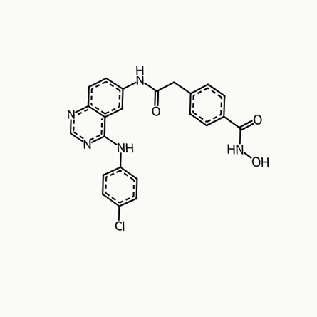 O=C(Cc1ccc(C(=O)NO)cc1)Nc1ccc2ncnc(Nc3ccc(Cl)cc3)c2c1